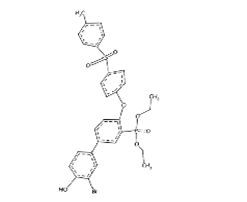 CCOP(=O)(OCC)c1cc(-c2ccc(O)c(Br)c2)ccc1Oc1ccc(S(=O)(=O)c2ccc(C)cc2)cc1